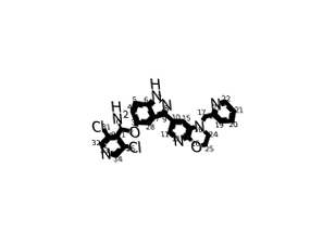 N[C@@H](Oc1ccc2[nH]nc(-c3cnc4c(c3)N(Cc3ccccn3)CCO4)c2c1)c1c(Cl)cncc1Cl